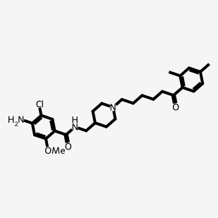 COc1cc(N)c(Cl)cc1C(=O)NCC1CCN(CCCCCC(=O)c2ccc(C)cc2C)CC1